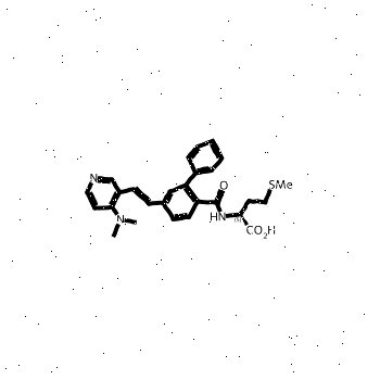 CSCC[C@H](NC(=O)c1ccc(C=Cc2cnccc2N(C)C)cc1-c1ccccc1)C(=O)O